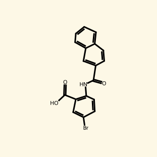 O=C(Nc1ccc(Br)cc1C(=O)O)c1ccc2ccccc2c1